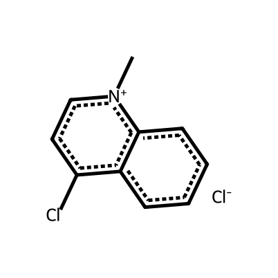 C[n+]1ccc(Cl)c2ccccc21.[Cl-]